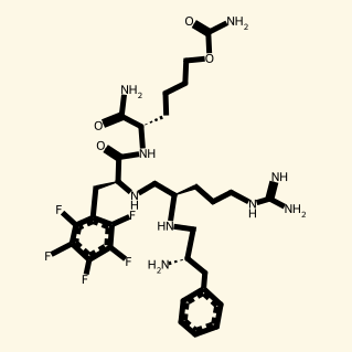 N=C(N)NCCC[C@H](CN[C@@H](Cc1c(F)c(F)c(F)c(F)c1F)C(=O)N[C@@H](CCCCOC(N)=O)C(N)=O)NC[C@@H](N)Cc1ccccc1